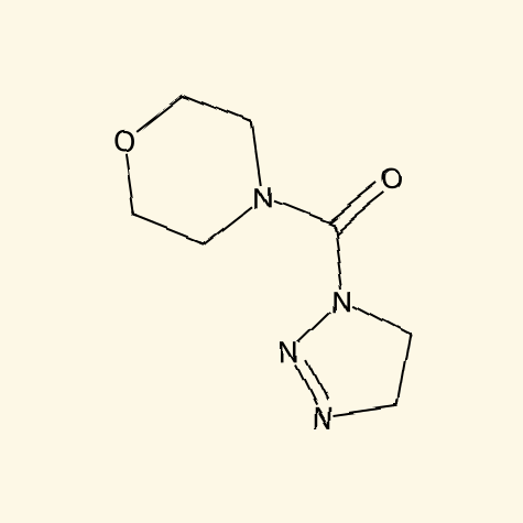 O=C(N1CCOCC1)N1CCN=N1